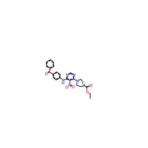 CCOC(=O)C1CCN(c2ncnc(Nc3ccc(C(=O)c4ccccc4)cc3)c2[N+](=O)[O-])CC1